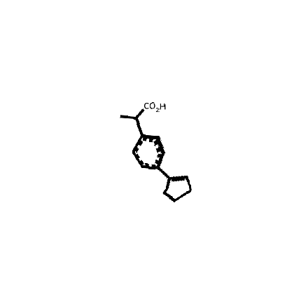 CC(C(=O)O)c1ccc(C2=CCCC2)cc1